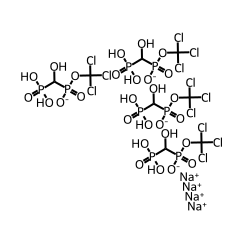 O=P(O)(O)C(O)P(=O)([O-])OC(Cl)(Cl)Cl.O=P(O)(O)C(O)P(=O)([O-])OC(Cl)(Cl)Cl.O=P(O)(O)C(O)P(=O)([O-])OC(Cl)(Cl)Cl.O=P(O)(O)C(O)P(=O)([O-])OC(Cl)(Cl)Cl.[Na+].[Na+].[Na+].[Na+]